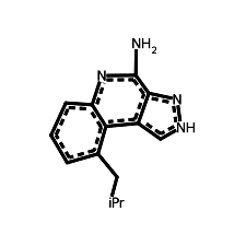 CC(C)Cc1cccc2nc(N)c3n[nH]cc3c12